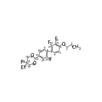 C=CCOc1ccc(-c2ccc(C3OCC(F)(CC)CO3)cc2F)c(F)c1F